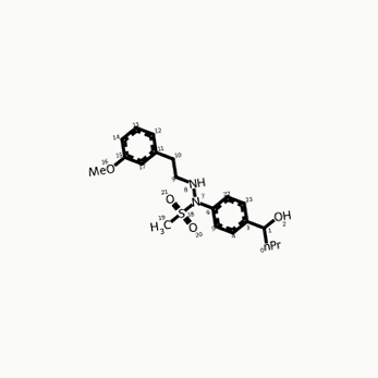 CCCC(O)c1ccc(N(NCCc2cccc(OC)c2)S(C)(=O)=O)cc1